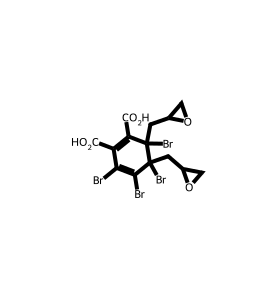 O=C(O)C1=C(C(=O)O)C(Br)(CC2CO2)C(Br)(CC2CO2)C(Br)=C1Br